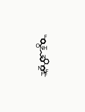 O=C(NCCCc1ccc2c(n1)CCC[C@H]2c1cncc(C(F)(F)F)c1)c1ccc(F)cc1